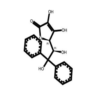 O=C1O[C@H]([C@@H](O)C(O)(c2ccccc2)c2ccccc2)C(O)=C1O